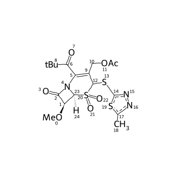 CO[C@H]1C(=O)N2C(C(=O)C(C)(C)C)=C(COC(C)=O)C(Sc3nnc(C)s3)S(=O)(=O)[C@@H]12